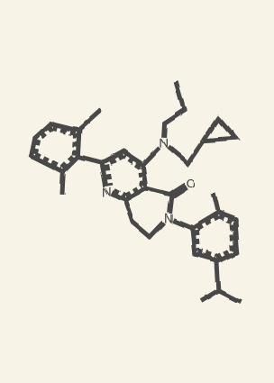 CCCN(CC1CC1)c1cc(-c2c(C)cccc2C)nc2c1C(=O)N(c1cc(C(C)C)ccc1C)CC2